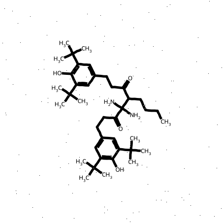 CCCCC(C(=O)CCc1cc(C(C)(C)C)c(O)c(C(C)(C)C)c1)C(N)(N)C(=O)CCc1cc(C(C)(C)C)c(O)c(C(C)(C)C)c1